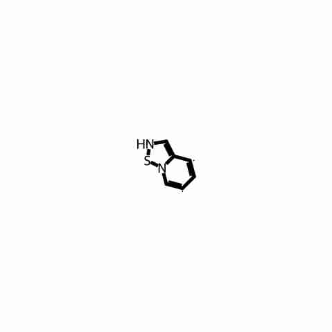 [C]1=C[C]=CN2SNC=C12